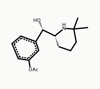 CC(=O)Oc1cccc([C@H](O)[C@H]2CCCC(C)(C)N2)c1